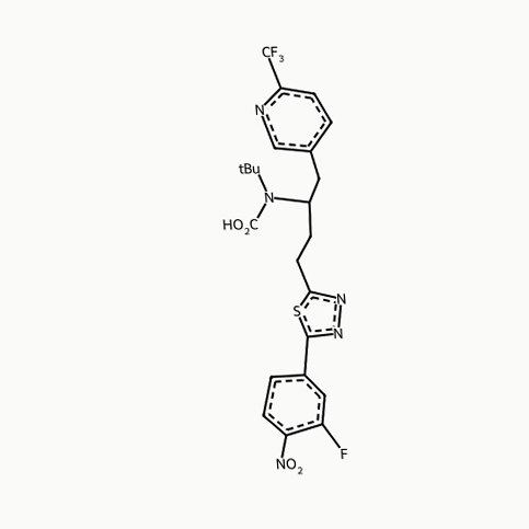 CC(C)(C)N(C(=O)O)C(CCc1nnc(-c2ccc([N+](=O)[O-])c(F)c2)s1)Cc1ccc(C(F)(F)F)nc1